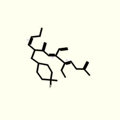 C=CC(=C\C(=C)C(/C=C\CC)CC1CCC(C)(F)CC1)/C(=C/CC(=C)C)CC